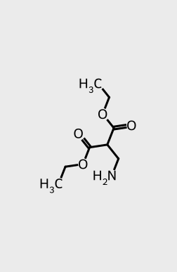 CCOC(=O)C(CN)C(=O)OCC